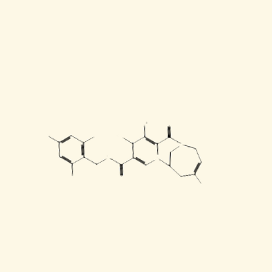 O=C(NCc1c(F)cc(F)cc1F)C1=CN2C(=C(O)C1O)C(=O)N1CC=C(F)CC2C1